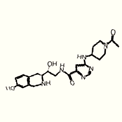 CC(=O)N1CCC(Nc2cc(C(=O)NC[C@@H](O)[C@@H]3Cc4ccc(O)cc4CN3)ncn2)CC1